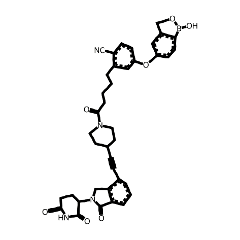 N#Cc1ccc(Oc2ccc3c(c2)COB3O)cc1CCCCC(=O)N1CCC(C#Cc2cccc3c2CN(C2CCC(=O)NC2=O)C3=O)CC1